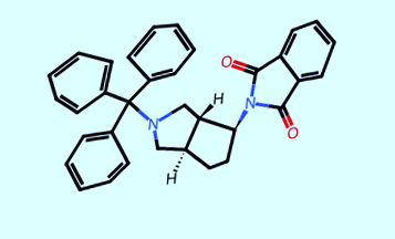 O=C1c2ccccc2C(=O)N1[C@H]1CC[C@H]2CN(C(c3ccccc3)(c3ccccc3)c3ccccc3)C[C@@H]21